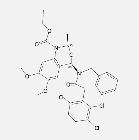 CCOC(=O)N1c2cc(OC)c(OC)cc2[C@H](N(Cc2ccccc2)C(=O)Cc2c(Cl)ccc(Cl)c2Cl)C[C@@H]1C